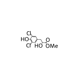 COC(=O)C(O)Cc1cc(Cl)c(O)c(Cl)c1